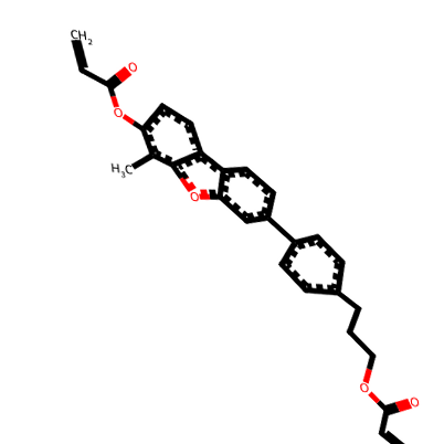 C=CC(=O)OCCCc1ccc(-c2ccc3c(c2)oc2c(C)c(OC(=O)C=C)ccc23)cc1